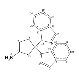 BC1CCC(C2C=Cc3ccccc32)(C2C=Cc3ccccc32)C1